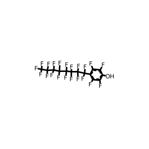 Oc1c(F)c(F)c(C(F)(F)C(F)(F)C(F)(F)C(F)(F)C(F)(F)C(F)(F)C(F)(F)C(F)(F)F)c(F)c1F